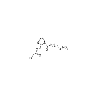 CC(C)CC(=O)OCc1ncccc1C(=O)NCCO[N+](=O)[O-]